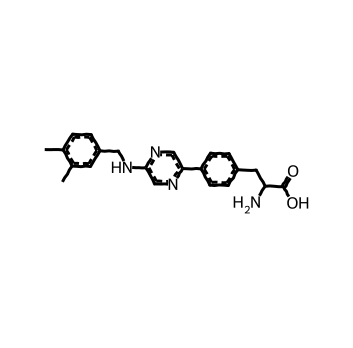 Cc1ccc(CNc2cnc(-c3ccc(CC(N)C(=O)O)cc3)cn2)cc1C